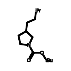 CC(C)CCC1CCN(C(=O)OC(C)(C)C)C1